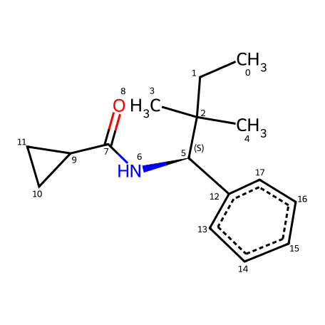 CCC(C)(C)[C@H](NC(=O)C1CC1)c1ccccc1